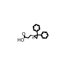 O=C(O)CC[C@@H]1CC1(c1ccccc1)c1ccccc1